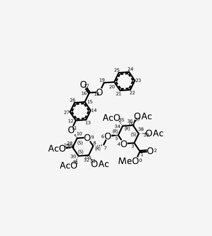 COC(=O)C1O[C@@H](OC[C@H]2O[C@@H](Oc3ccc(C(=O)OCc4ccccc4)cc3)[C@H](OC(C)=O)[C@@H](OC(C)=O)[C@H]2OC(C)=O)[C@H](OC(C)=O)[C@@H](OC(C)=O)[C@@H]1OC(C)=O